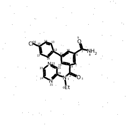 CCN(C(=O)c1cc(C(N)=O)cc(-c2ccc(Cl)cc2)c1)c1cnccn1